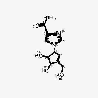 NC(=O)c1cn([C@@H]2C=C(CO)C(O)C2O)cn1